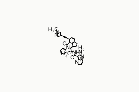 C[C@H](NC(=O)c1c(N)nn2cccnc12)c1c2c3c(ccc(C#Cc4cnn(C)c4)c3c(=O)n1-c1ccccc1)CC2